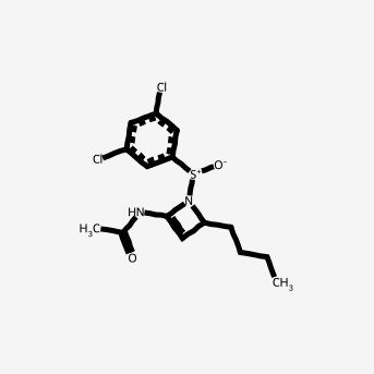 CCCCC1C=C(NC(C)=O)N1[S+]([O-])c1cc(Cl)cc(Cl)c1